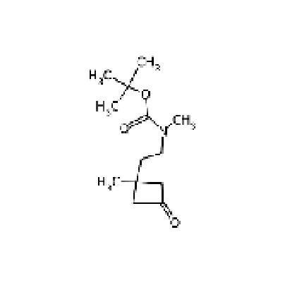 CN(CCC1(C)CC(=O)C1)C(=O)OC(C)(C)C